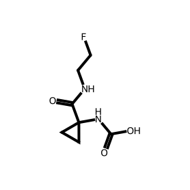 O=C(O)NC1(C(=O)NCCF)CC1